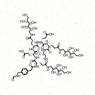 C[C@@H](CS)NC(=O)[C@H](CCC(=O)NC[C@H](O)[C@@H](O)[C@H](O)[C@H](O)CO)NC(=O)[C@@H](CCC(=O)O)NC(=O)[C@H](CCC(=O)NC[C@H](O)[C@@H](O)[C@H](O)[C@H](O)CO)NC(=O)[C@@H](CCC(=O)O)NC(=O)[C@H](CCC(=O)NC[C@H](O)[C@@H](O)[C@H](O)[C@H](O)CO)NC(=O)Cc1ccc(CNC=O)cc1